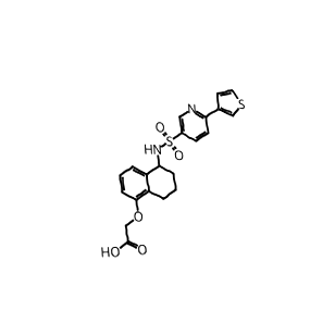 O=C(O)COc1cccc2c1CCCC2NS(=O)(=O)c1ccc(-c2ccsc2)nc1